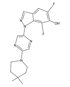 CC1(C)CCN(c2cnc(-n3ncc4cc(F)c(O)c(F)c43)cn2)CC1